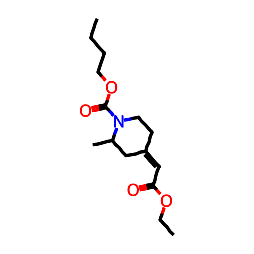 CCCCOC(=O)N1CC/C(=C/C(=O)OCC)CC1C